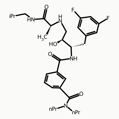 CCCN(CCC)C(=O)c1cccc(C(=O)N[C@@H](Cc2cc(F)cc(F)c2)[C@@H](O)CN[C@@H](C)C(=O)NCC(C)C)c1